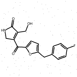 O=C1NCC(C(=O)c2ccc(Cc3ccc(F)cc3)o2)=C1CO